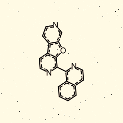 c1ccc2c(-c3nccc4c3oc3cnccc34)nccc2c1